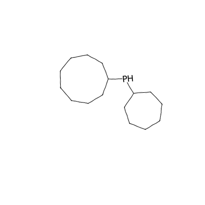 C1CCCCC(PC2CCCCCC2)CCC1